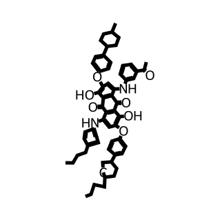 CCCCc1ccc(Nc2cc(Oc3ccc(C4CCC(CCCC)CC4)cc3)c(O)c3c2C(=O)c2c(O)c(Oc4ccc(C5CCC(C)CC5)cc4)cc(Nc4cccc(C(C)=O)c4)c2C3=O)cc1